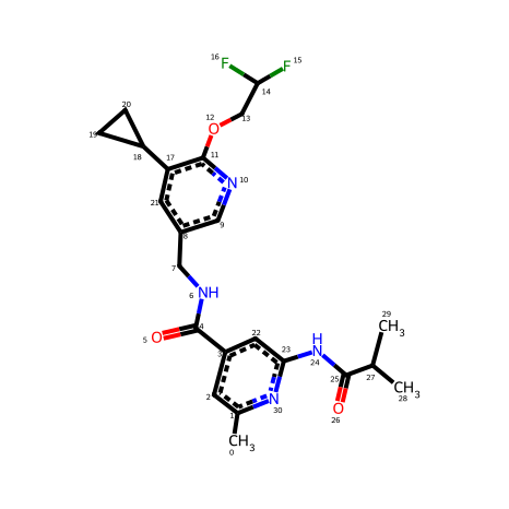 Cc1cc(C(=O)NCc2cnc(OCC(F)F)c(C3CC3)c2)cc(NC(=O)C(C)C)n1